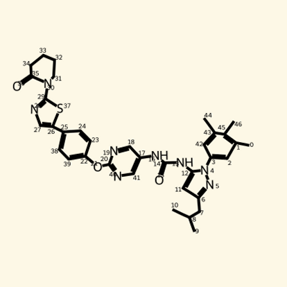 Cc1cc(-n2nc(CC(C)C)cc2NC(=O)Nc2cnc(Oc3ccc(-c4cnc(N5CCCCC5=O)s4)cc3)nc2)cc(C)c1C